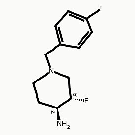 N[C@H]1CCN(Cc2ccc(I)cc2)C[C@@H]1F